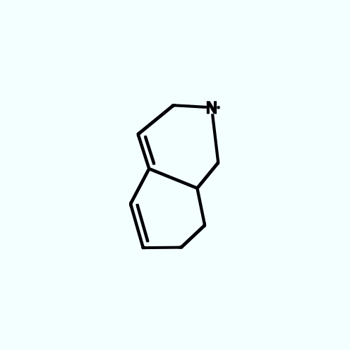 C1=CC2=CC[N]CC2CC1